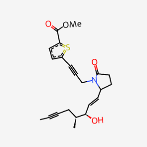 CC#CC[C@H](C)[C@H](O)C=CC1CCC(=O)N1CC#Cc1ccc(C(=O)OC)s1